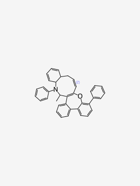 CC1C2=C(/C=C\CC3C=CC=CC3N1c1ccccc1)Oc1c(-c3ccccc3)cccc1-c1ccccc12